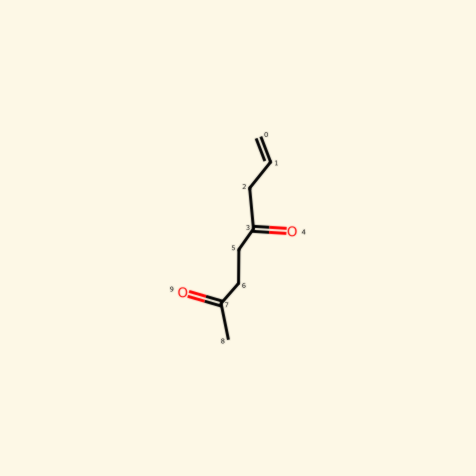 C=CCC(=O)CCC(C)=O